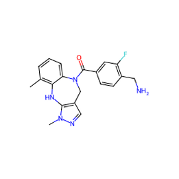 Cc1cccc2c1Nc1c(cnn1C)CN2C(=O)c1ccc(CN)c(F)c1